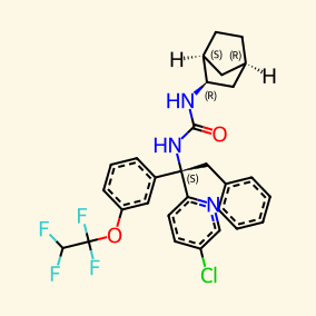 O=C(N[C@@H]1C[C@@H]2CC[C@H]1C2)N[C@@](Cc1ccccc1)(c1cccc(OC(F)(F)C(F)F)c1)c1ccc(Cl)cn1